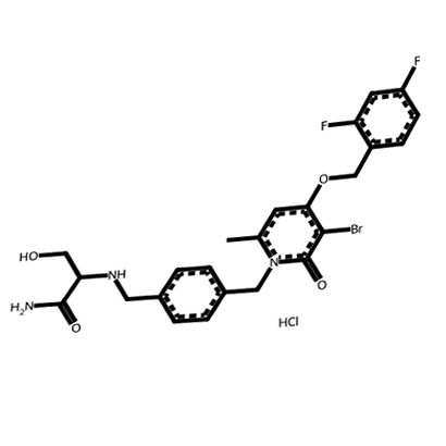 Cc1cc(OCc2ccc(F)cc2F)c(Br)c(=O)n1Cc1ccc(CNC(CO)C(N)=O)cc1.Cl